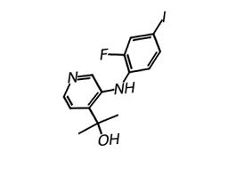 CC(C)(O)c1ccncc1Nc1ccc(I)cc1F